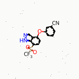 N#Cc1cccc(Oc2ccc(S(=O)(=O)C(F)(F)F)c3[nH]ncc23)c1